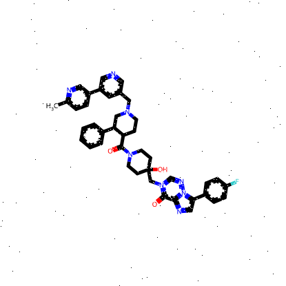 Cc1ccc(-c2cncc(CN3CCC(C(=O)N4CCC(O)(Cn5cnn6c(-c7ccc(F)cc7)cnc6c5=O)CC4)C(c4ccccc4)C3)c2)cn1